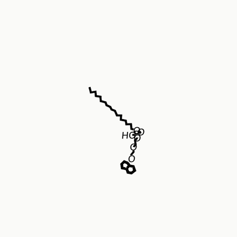 CCCCCCCCCCCCCCCCCCOP(=O)(O)OCCOCCOc1cccc2ccccc12